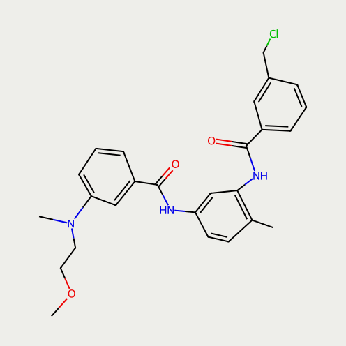 COCCN(C)c1cccc(C(=O)Nc2ccc(C)c(NC(=O)c3cccc(CCl)c3)c2)c1